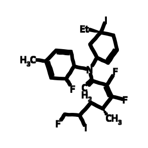 C=C(/C(F)=C(/F)[C@H](C)CC(I)CF)N(C1C=CC[C@](I)(CC)C1)C1C=CC(C)=CC1F